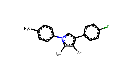 CC(=O)c1c(-c2ccc(F)cc2)cn(-c2ccc(C)cc2)c1C